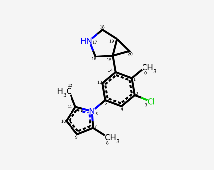 Cc1c(Cl)cc(-n2c(C)ccc2C)cc1C12CNCC1C2